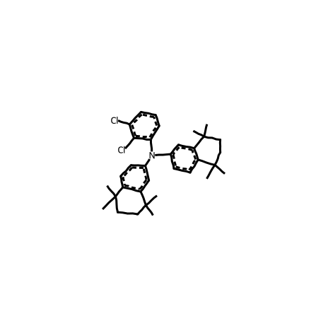 CC1(C)CCC(C)(C)c2cc(N(c3ccc4c(c3)C(C)(C)CCC4(C)C)c3cccc(Cl)c3Cl)ccc21